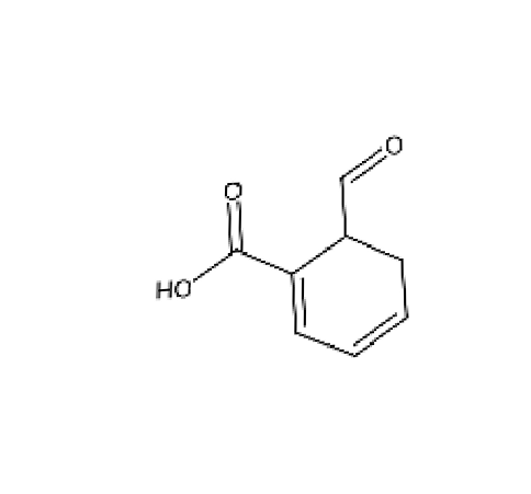 O=CC1CC=CC=C1C(=O)O